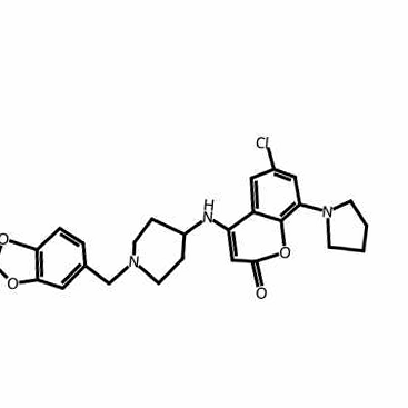 O=c1cc(NC2CCN(Cc3ccc4c(c3)OCO4)CC2)c2cc(Cl)cc(N3CCCC3)c2o1